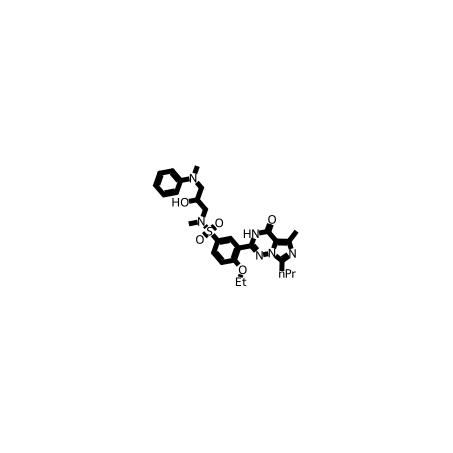 CCCc1nc(C)c2c(=O)[nH]c(-c3cc(S(=O)(=O)N(C)CC(O)CN(C)c4ccccc4)ccc3OCC)nn12